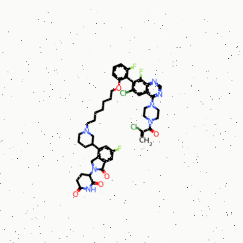 C=C(Cl)C(=O)N1CCN(c2ncnc3c(F)c(-c4c(F)cccc4OCCCCCCCN4CCCC(c5cc(F)cc6c5CN(C5CCC(=O)NC5=O)C6=O)C4)c(Cl)cc23)CC1